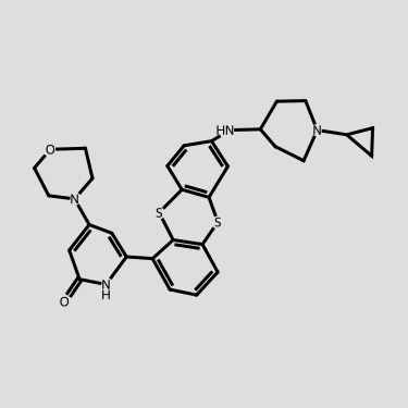 O=c1cc(N2CCOCC2)cc(-c2cccc3c2Sc2ccc(NC4CCN(C5CC5)CC4)cc2S3)[nH]1